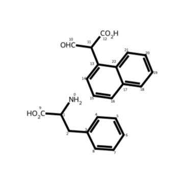 NC(Cc1ccccc1)C(=O)O.O=CC(C(=O)O)c1cccc2ccccc12